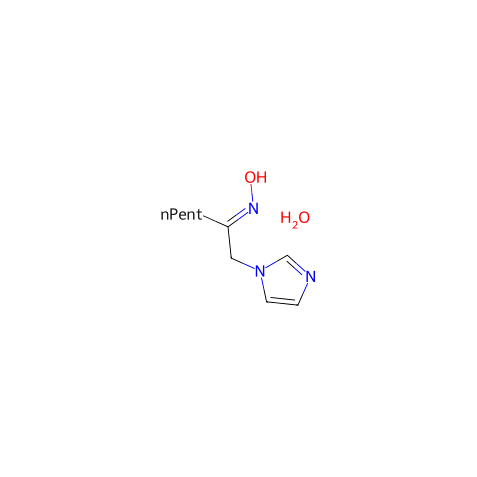 CCCCCC(Cn1ccnc1)=NO.O